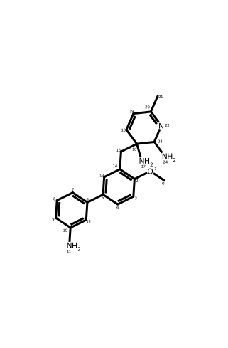 COc1ccc(-c2cccc(N)c2)cc1CC1(N)C=CC(C)=NC1N